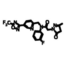 CC1=NN(CC(=O)N(Cc2ccc(-c3noc(C(F)(F)F)n3)cn2)c2cccc(F)c2)C(=O)C1